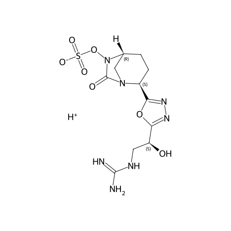 N=C(N)NC[C@H](O)c1nnc([C@@H]2CC[C@@H]3CN2C(=O)N3OS(=O)(=O)[O-])o1.[H+]